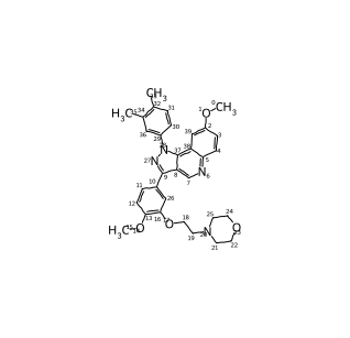 COc1ccc2ncc3c(-c4ccc(OC)c(OCCN5CCOCC5)c4)nn(-c4ccc(C)c(C)c4)c3c2c1